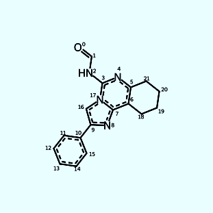 O=CNc1nc2c(c3nc(-c4ccccc4)cn13)CCCC2